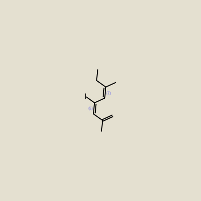 C=C(C)/C=C(I)\C=C(\C)CC